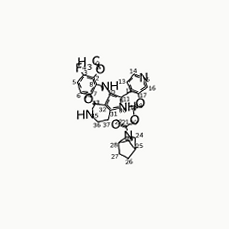 COc1c(F)cccc1Nc1c(-c2ccncc2OCOC(=O)N2CC3CCC2C3)[nH]c2c1C(=O)NCC2